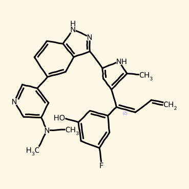 C=C/C=C(/c1cc(O)cc(F)c1)c1cc(-c2n[nH]c3ccc(-c4cncc(N(C)C)c4)cc23)[nH]c1C